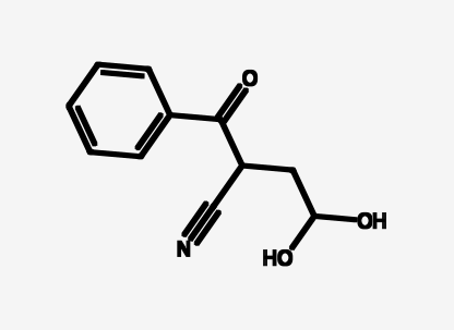 N#CC(CC(O)O)C(=O)c1ccccc1